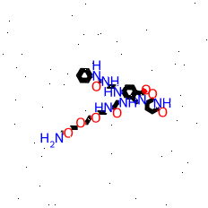 NCOCCOCCOCCNC(=O)CNc1c(NCCNC(=O)Nc2ccccc2)ccc2c1CN(C1CCC(=O)NC1=O)C2=O